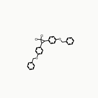 ClC1(Cl)C(c2ccc(OCc3ccccc3)cc2)C1c1ccc(OCc2ccccc2)cc1